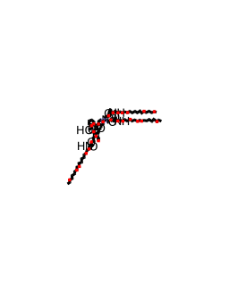 C=CN(CCOC(=O)NCCCCCCCCCCCCCCCCCC)c1ccc2c(-c3ccccc3C(=O)O)c3cc/c(=[N+](\CCOC(=C)NCCCCCCCCCCCCCCCCCC)CCOC(=O)NCCCCCCCCCCCCCCCCCC)cc-3oc2c1